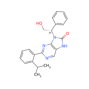 CC(C)c1ccccc1-c1ncc2[nH]c(=O)n([C@H](CO)c3ccccc3)c2n1